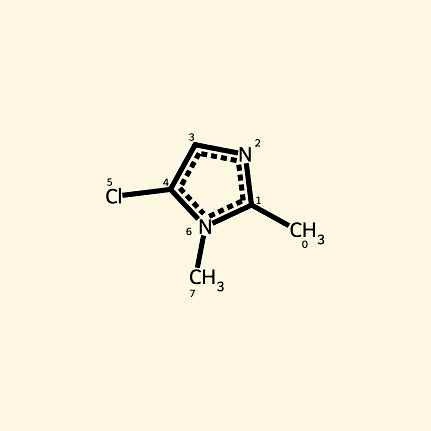 Cc1ncc(Cl)n1C